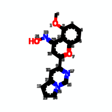 COc1cccc2oc(-c3cc4cccn4cn3)c/c(=N\O)c12